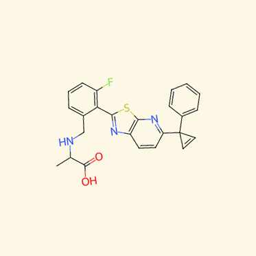 CC(NCc1cccc(F)c1-c1nc2ccc(C3(c4ccccc4)C=C3)nc2s1)C(=O)O